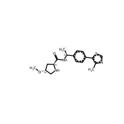 CO[C@H]1CN[C@H](C(=O)N[C@@H](C)c2ccc(-c3scnc3C)cc2)C1